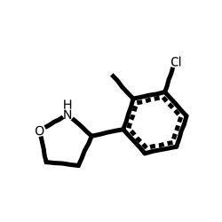 Cc1c(Cl)cccc1C1CCON1